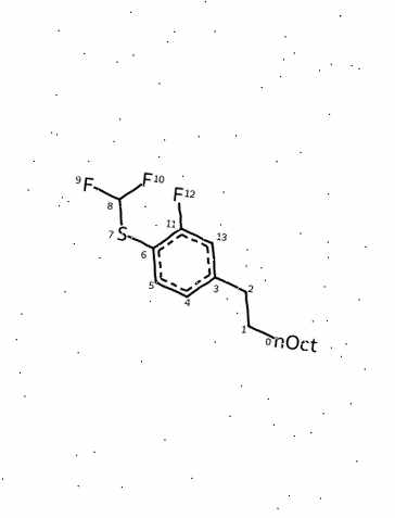 CCCCCC[CH]CCCc1ccc(SC(F)F)c(F)c1